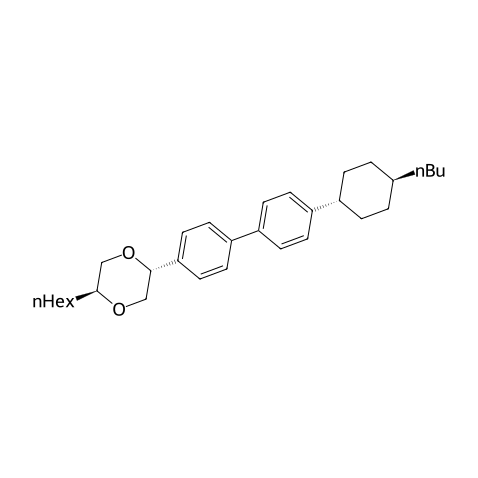 CCCCCC[C@H]1CO[C@H](c2ccc(-c3ccc([C@H]4CC[C@H](CCCC)CC4)cc3)cc2)CO1